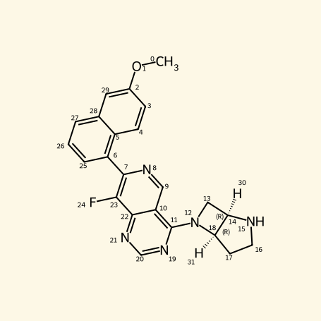 COc1ccc2c(-c3ncc4c(N5C[C@H]6NCC[C@H]65)ncnc4c3F)cccc2c1